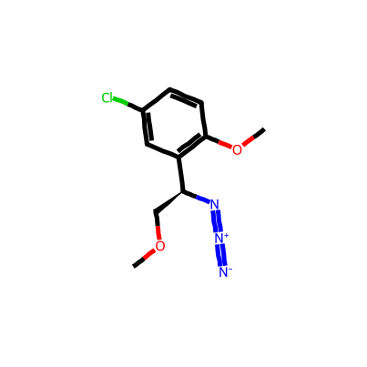 COC[C@H](N=[N+]=[N-])c1cc(Cl)ccc1OC